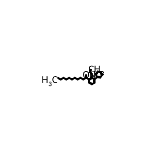 CCCCCCCCCCCC(=O)c1cccc2c3ccccc3n(CC)c12